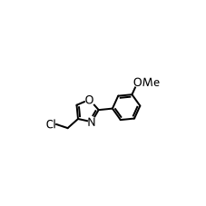 COc1cccc(-c2nc(CCl)co2)c1